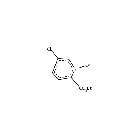 CCOC(=O)c1ccc(Cl)c[n+]1[O-]